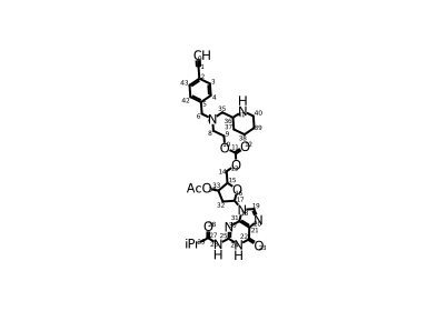 C#Cc1ccc(CN(CCOC(=O)OCC2OC(n3cnc4c(=O)[nH]c(NC(=O)C(C)C)nc43)CC2OC(C)=O)CC2CCCCN2)cc1